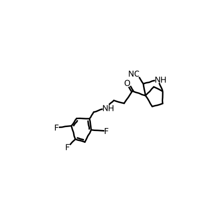 N#CC1NC2CCC1(C(=O)CCNCc1cc(F)c(F)cc1F)C2